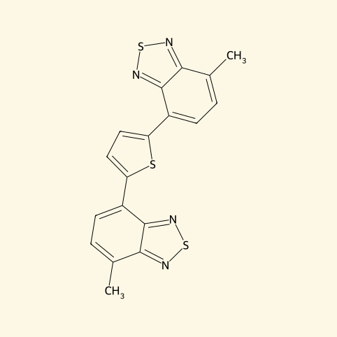 Cc1ccc(-c2ccc(-c3ccc(C)c4nsnc34)s2)c2nsnc12